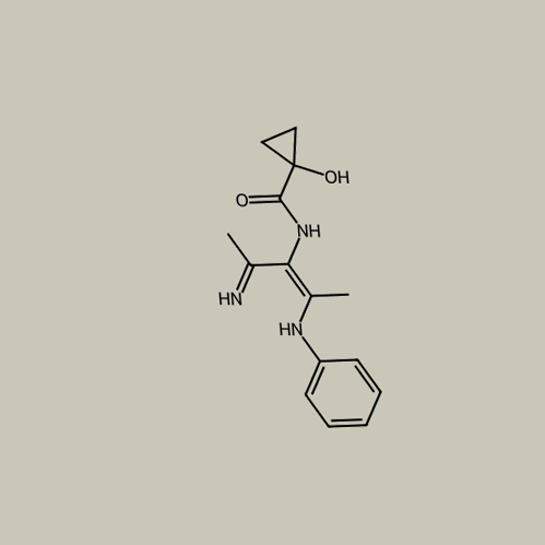 CC(=N)/C(NC(=O)C1(O)CC1)=C(/C)Nc1ccccc1